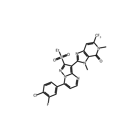 CCS(=O)(=O)c1nn2c(-c3ccc(Cl)c(F)c3)ccnc2c1-c1nc2cc(C(F)(F)F)n(C)c(=O)c2n1C